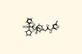 Cc1cc(NC(=O)C[N+]23CCC(CC2)[C@@H](OC(=O)C(O)(c2ccco2)C2CCCC2)C3)no1